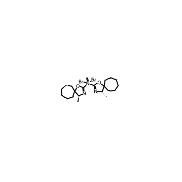 [CH2]=[Ni]([Br])([Br])([C]1=N[C@@H](C)C2(CCCCCC2)O1)[C]1=N[C@@H](C)C2(CCCCCC2)O1